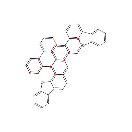 c1ccc(-c2ccccc2-c2c(-c3ccccc3)cccc2-c2ccccc2N(c2ccc(-c3cccc4c3oc3ccccc34)cc2)c2cccc3c2oc2ccccc23)cc1